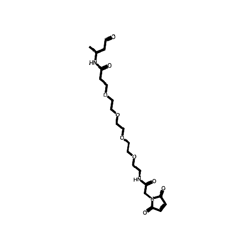 CC(CC=O)NC(=O)CCOCCOCCOCCOCCNC(=O)CN1C(=O)C=CC1=O